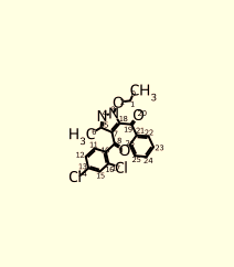 CCOn1nc(C)c(C(=O)c2ccc(Cl)cc2Cl)c1C(=O)c1ccccc1